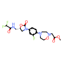 COC(=O)CN1CCN(c2ccc(N3C[C@H](CNC(=O)C(F)F)OC3=O)cc2F)CCO1